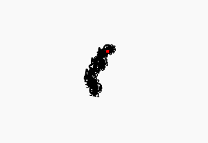 CN(c1nc2sc(-c3ncc(-c4cnn(C5CCCCO5)c4)c4ccn(C)c34)nc2s1)C1CCN(C(=O)OC(C)(C)C)CC1